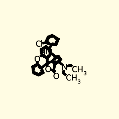 CCN(CC)c1ccc(Nc2ccccc2Cl)c2c1C(=O)OC21c2ccccc2Oc2ccccc21